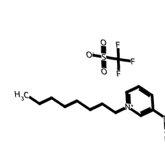 CCCCCCCC[n+]1cccc(N=C=S)c1.O=S(=O)([O-])C(F)(F)F